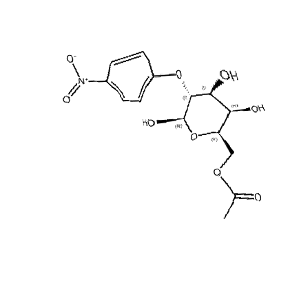 CC(=O)OC[C@H]1O[C@@H](O)[C@H](Oc2ccc([N+](=O)[O-])cc2)[C@@H](O)[C@H]1O